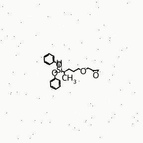 CC(CCCOCC1CO1)[SiH](Oc1ccccc1)Oc1ccccc1